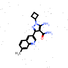 Cc1ccc2cc(-c3nn(C4CCC4)c(N)c3C(N)=O)cnc2c1